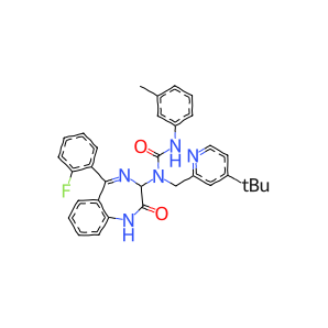 Cc1cccc(NC(=O)N(Cc2cc(C(C)(C)C)ccn2)C2N=C(c3ccccc3F)c3ccccc3NC2=O)c1